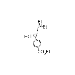 CCOC(=O)c1ccc(OCCN(CC)CC)cc1.Cl